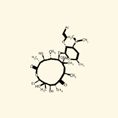 CC[C@H]1OC(=O)[C@H](C)[C@@H](O)[C@H](C)[C@@H](O[C@@H]2O[C@H](C)C[C@H](N(C)C)[C@H]2O/C=C/C(C)=O)[C@@](C)(OC)C[C@@H](C)C(=O)[C@H](C)[C@@H](O)[C@]1(C)O